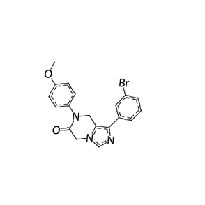 COc1ccc(N2Cc3c(-c4cccc(Br)c4)ncn3CC2=O)cc1